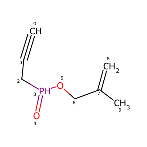 C#CC[PH](=O)OCC(=C)C